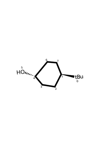 CC(C)(C)[C@H]1CC[C@H](O)CC1